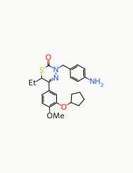 CCC1SC(=O)N(Cc2ccc(N)cc2)N=C1c1ccc(OC)c(OC2CCCC2)c1